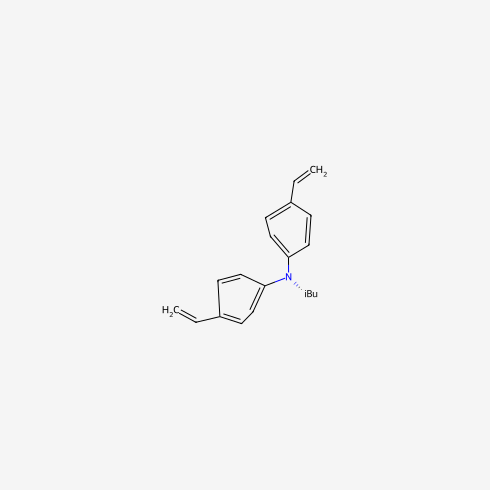 C=Cc1ccc(N(c2ccc(C=C)cc2)[C@@H](C)CC)cc1